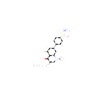 CCOC(=O)c1cn(CC)c2cc(-c3ccc(S(N)(=O)=O)cc3)cc(F)c2c1=O